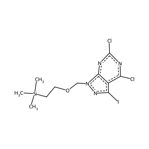 C[Si](C)(C)CCOCn1nc(I)c2c(Cl)nc(Cl)nc21